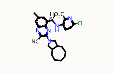 Cc1cc([C@@H](C)Nc2ccc(Cl)nc2C(=O)O)c2nc(N3CC4CCCCCCC4C3)c(C#N)nc2c1